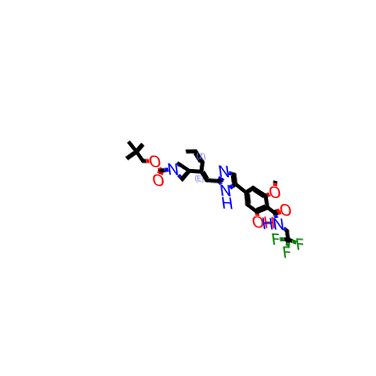 C/C=C\C(=C/c1ncc(-c2cc(O)c(C(=O)NCC(F)(F)F)c(OC)c2)[nH]1)C1CN(C(=O)OCC(C)(C)C)C1